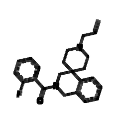 C=CCN1CCC2(CC1)CN(C(=O)c1ccccc1F)Cc1ccccc12